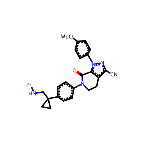 COc1ccc(-n2nc(C#N)c3c2C(=O)N(c2ccc(C4(CNC(C)C)CC4)cc2)CC3)cc1